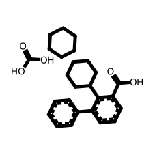 C1CCCCC1.O=C(O)O.O=C(O)c1cccc(-c2ccccc2)c1C1CCCCC1